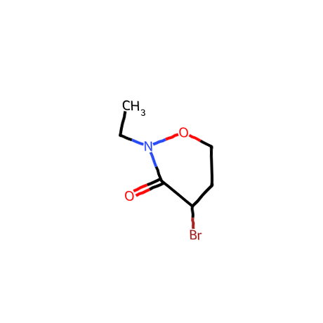 CCN1OCCC(Br)C1=O